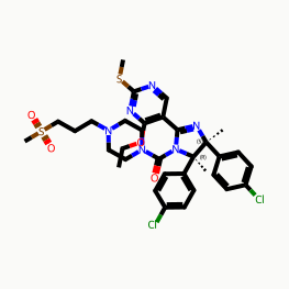 CCOc1nc(SC)ncc1C1=N[C@@](C)(c2ccc(Cl)cc2)[C@@](C)(c2ccc(Cl)cc2)N1C(=O)N1CCN(CCCS(C)(=O)=O)CC1